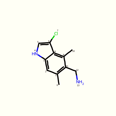 Cc1cc2[nH]cc(Cl)c2c(C)c1CN